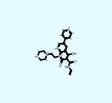 C=CNC(=O)c1c(O)c2cc(-c3ccncc3)cnc2n(CCN2CCOCC2)c1=O